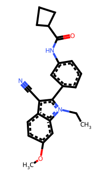 CCn1c(-c2cccc(NC(=O)C3CCC3)c2)c(C#N)c2ccc(OC)cc21